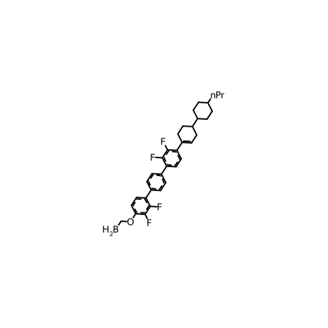 BCOc1ccc(-c2ccc(-c3ccc(C4=CCC(C5CCC(CCC)CC5)CC4)c(F)c3F)cc2)c(F)c1F